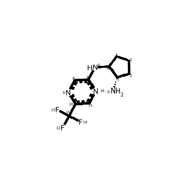 N[C@H]1CCCC1Nc1cnc(C(F)(F)F)cn1